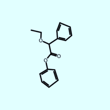 CCOC(C(=O)Oc1ccccc1)c1ccccc1